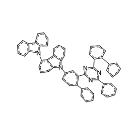 c1ccc(-c2nc(-c3ccccc3-c3ccccc3)nc(-c3cc(-n4c5ccccc5c5c(-n6c7ccccc7c7ccccc76)cccc54)ccc3-c3ccccc3)n2)cc1